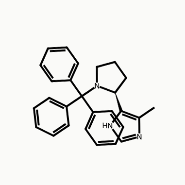 Cc1nc[nH]c1[C@@H]1CCCN1C(c1ccccc1)(c1ccccc1)c1ccccc1